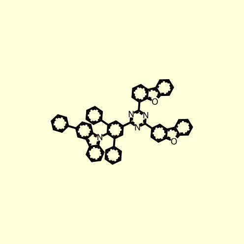 c1ccc(-c2ccc3c(c2)c2ccccc2n3-c2c(-c3ccccc3)cc(-c3nc(-c4ccc5oc6ccccc6c5c4)nc(-c4cccc5c4oc4ccccc45)n3)cc2-c2ccccc2)cc1